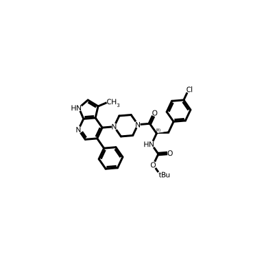 Cc1c[nH]c2ncc(-c3ccccc3)c(N3CCN(C(=O)[C@@H](Cc4ccc(Cl)cc4)NC(=O)OC(C)(C)C)CC3)c12